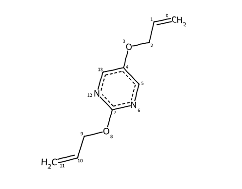 C=CCOc1cnc(OCC=C)nc1